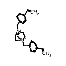 C=Cc1ccc(C[N+]23CC[N+](Cc4ccc(C=C)cc4)(CC2)CC3)cc1